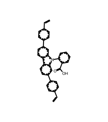 C=Cc1ccc(-c2ccc3c4ccc(-c5ccc(C=C)cc5)cc4n(-c4ccccc4C(=O)O)c3c2)cc1